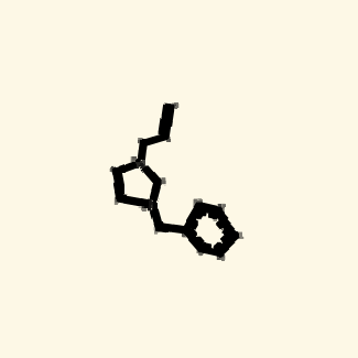 C=CCN1C=CN(Cc2ccccc2)C1